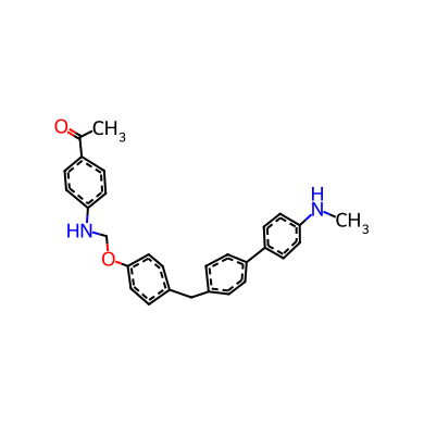 CNc1ccc(-c2ccc(Cc3ccc(OCNc4ccc(C(C)=O)cc4)cc3)cc2)cc1